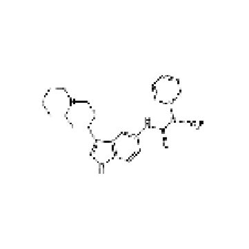 CCOC(=O)N(C(=O)Nc1ccc2[nH]cc(C3CCN4CCCCC4C3)c2c1)c1ccccc1